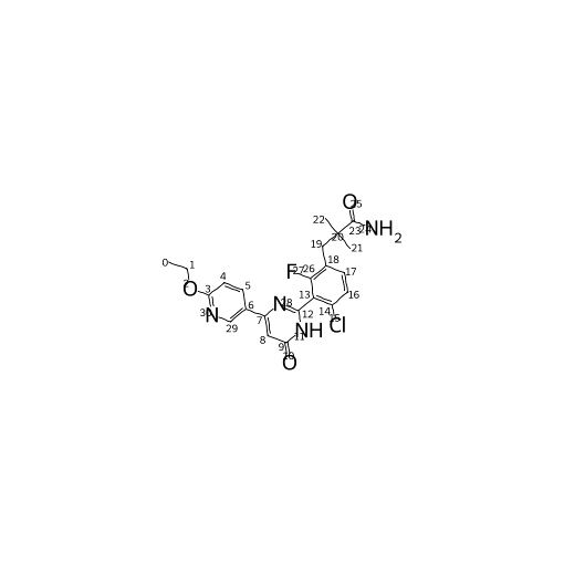 CCOc1ccc(-c2cc(=O)[nH]c(-c3c(Cl)ccc(CC(C)(C)C(N)=O)c3F)n2)cn1